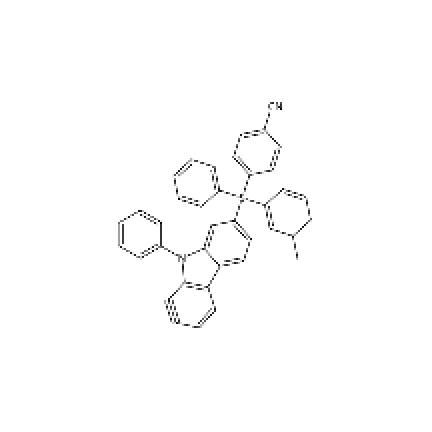 CC1C=C(S(c2ccccc2)(c2ccc(C#N)cc2)c2ccc3c4ccc#cc4n(-c4ccccc4)c3c2)C=CC1